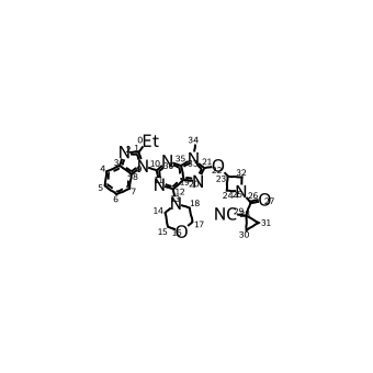 CCc1nc2ccccc2n1-c1nc(N2CCOCC2)c2nc(OC3CN(C(=O)C4(C#N)CC4)C3)n(C)c2n1